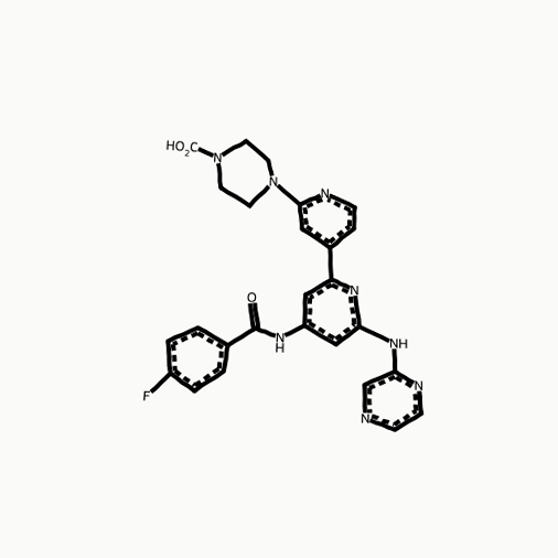 O=C(Nc1cc(Nc2cnccn2)nc(-c2ccnc(N3CCN(C(=O)O)CC3)c2)c1)c1ccc(F)cc1